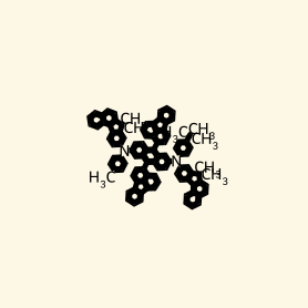 Cc1ccc(N(c2ccc3c(c2)C(C)(C)c2ccc4ccccc4c2-3)c2ccc3c(-c4ccc5c6c(cccc46)-c4ccccc4-5)c4cc(N(c5ccc(C(C)(C)C)cc5)c5ccc6c(c5)C(C)(C)c5ccc7ccccc7c5-6)ccc4c(-c4ccc5c6c(cccc46)-c4ccccc4-5)c3c2)cc1